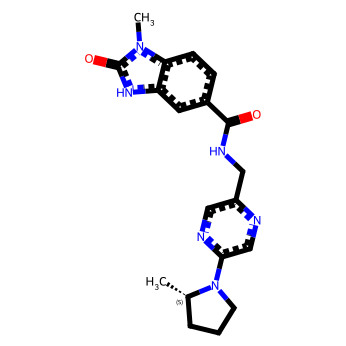 C[C@H]1CCCN1c1cnc(CNC(=O)c2ccc3c(c2)[nH]c(=O)n3C)cn1